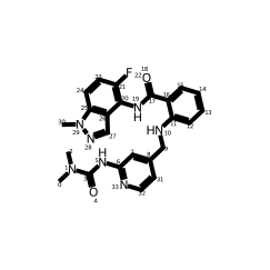 CN(C)C(=O)Nc1cc(CNc2ccccc2C(=O)Nc2c(F)ccc3c2cnn3C)ccn1